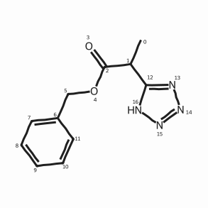 CC(C(=O)OCc1ccccc1)c1nnn[nH]1